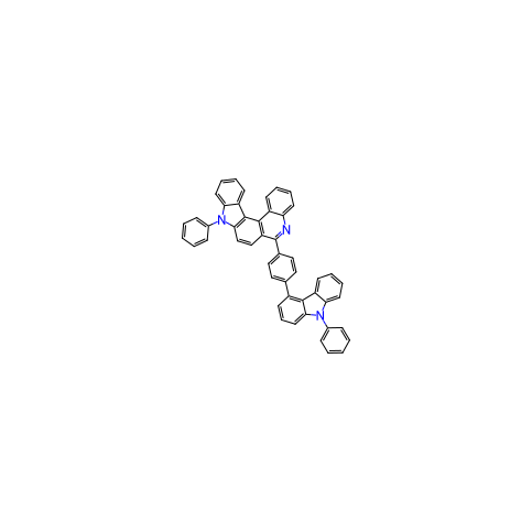 c1ccc(-n2c3ccccc3c3c(-c4ccc(-c5nc6ccccc6c6c5ccc5c6c6ccccc6n5-c5ccccc5)cc4)cccc32)cc1